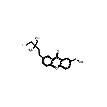 CCCCOc1ccc2oc3ccc(CCC(N)(CO)CO)cc3c(=O)c2c1